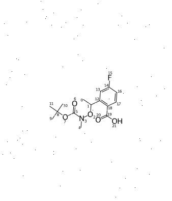 CC(ON(C)C(=O)OC(C)(C)C)c1cc(F)ccc1C(=O)O